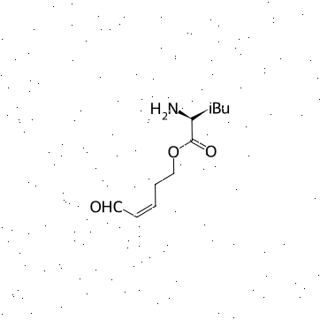 CC[C@H](C)[C@H](N)C(=O)OCC/C=C\C=O